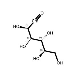 [O]=[Cm][C@H](O)[C@@H](O)[C@H](O)[C@H](O)CO